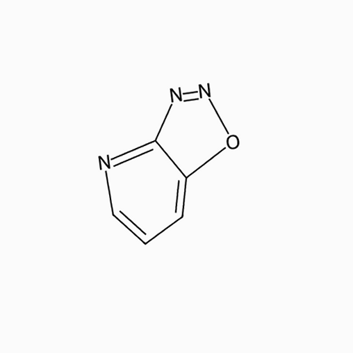 c1cnc2nnoc2c1